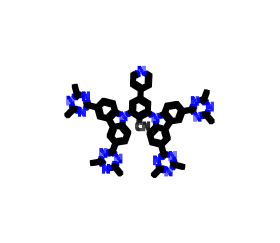 Cc1nc(C)nc(-c2ccc3c(c2)c2cc(-c4nc(C)nc(C)n4)ccc2n3-c2cc(-c3ccncc3)cc(-n3c4ccc(-c5nc(C)nc(C)n5)cc4c4cc(-c5nc(C)nc(C)n5)ccc43)c2C#N)n1